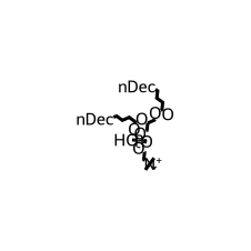 CCCCCCCCCCCCCC(=O)OCC(COP(=O)(O)OCC[N+](C)(C)C)OC(=O)CCCCCCCCCCCCC